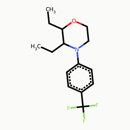 CCC1OCCN(c2ccc(C(F)(F)F)cc2)C1CC